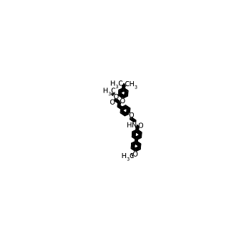 CCOC(=O)C(Cc1ccc(OCCNC(=O)c2ccc(-c3ccc(OC)cc3)cc2)cc1)Oc1ccc(C(C)C)cc1